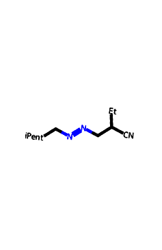 CCCC(C)CN=NCC(C#N)CC